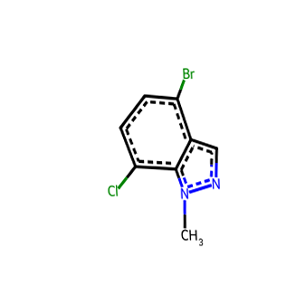 Cn1ncc2c(Br)ccc(Cl)c21